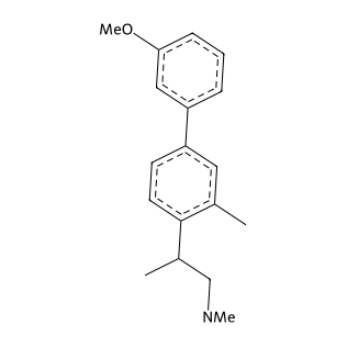 CNCC(C)c1ccc(-c2cccc(OC)c2)cc1C